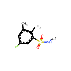 CCNS(=O)(=O)c1cc(F)cc(C)c1C